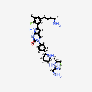 Cc1cc(CCC[C@H](C)N)cc(-c2cc3cn(-c4ccc([C@@H]5CCC[C@@H](C[C@@H](CF)NC(=N)CN)N5)cc4)c(=O)nc3[nH]2)c1F